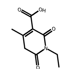 CCN1C(=O)CC(C)=C(C(=O)O)C1=O